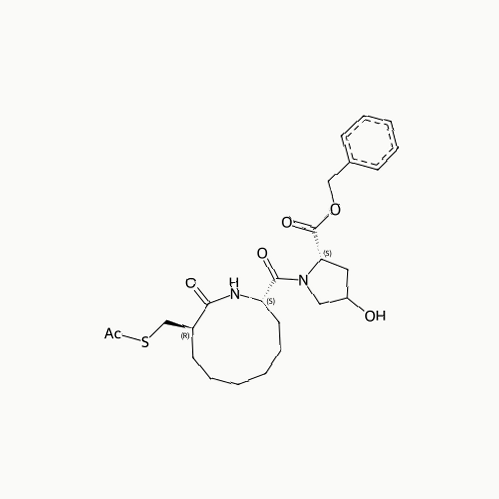 CC(=O)SC[C@@H]1CCCCCC[C@@H](C(=O)N2CC(O)C[C@H]2C(=O)OCc2ccccc2)NC1=O